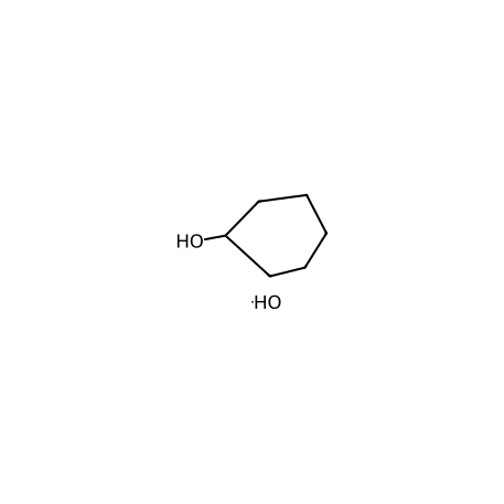 OC1CCCCC1.[OH]